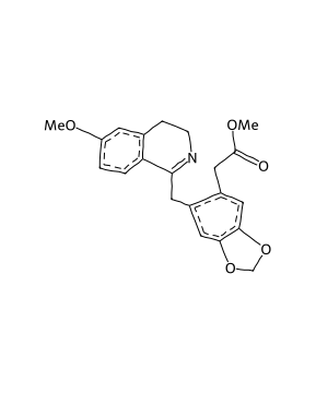 COC(=O)Cc1cc2c(cc1CC1=NCCc3cc(OC)ccc31)OCO2